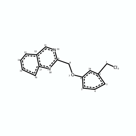 ClCc1cccc(OCc2ncc3ccccc3n2)c1